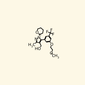 COCCOc1cc(-c2c(CO)c(C)nn2[C@H]2CCCCO2)cc(C(F)(F)F)c1